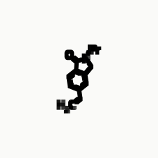 C=Cc1ccc2c(c1)CN(C(C)C)C2=O